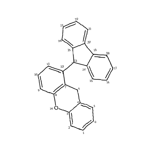 c1ccc2c(c1)Cc1c(cccc1[C]1c3ccccc3-c3ccccc31)O2